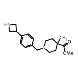 COC(=O)C1(C)CCN(Cc2ccc(C3CNC3)cc2)CC1